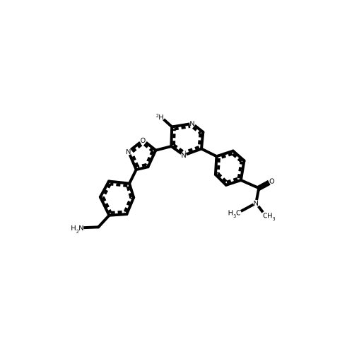 [2H]c1ncc(-c2ccc(C(=O)N(C)C)cc2)nc1-c1cc(-c2ccc(CN)cc2)no1